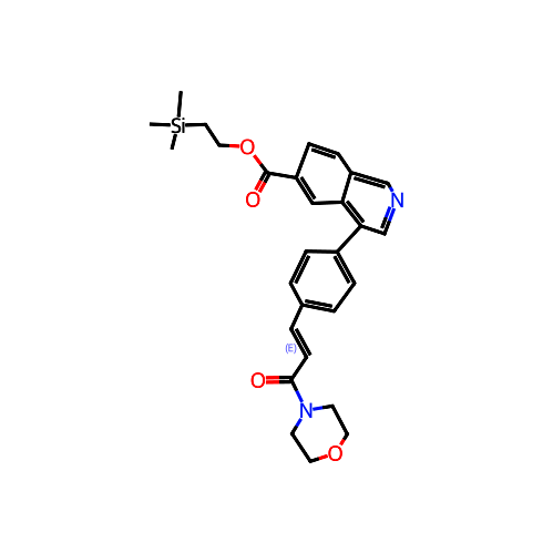 C[Si](C)(C)CCOC(=O)c1ccc2cncc(-c3ccc(/C=C/C(=O)N4CCOCC4)cc3)c2c1